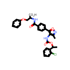 Cc1noc(-c2ccc(C(=O)NC(COc3ccccc3)C(=O)O)cc2)c1NC(=O)OC(C)c1ccccc1Cl